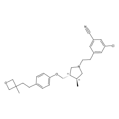 C[C@@H]1CN(CCc2cc(Cl)cc(C#N)c2)C[C@H]1COc1ccc(CCC2(C)COC2)cc1